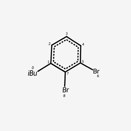 CCC(C)c1cccc(Br)c1Br